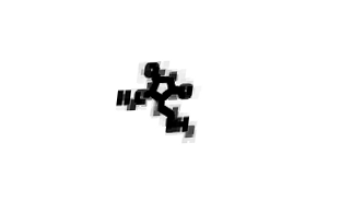 BCCC1C(=O)CC(=O)C1C